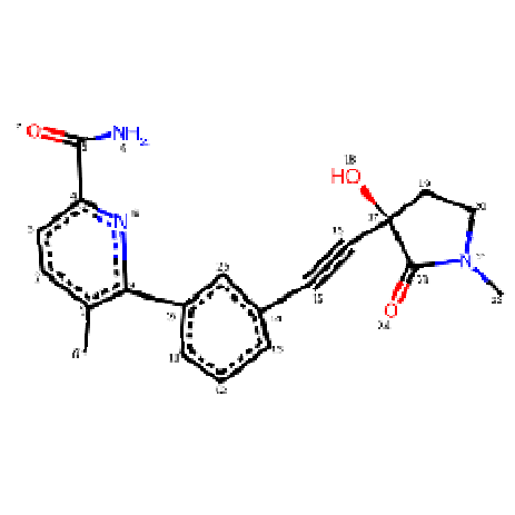 Cc1ccc(C(N)=O)nc1-c1cccc(C#C[C@]2(O)CCN(C)C2=O)c1